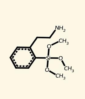 CO[Si](OC)(OC)c1ccccc1CCN